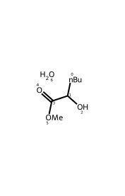 CCCCC(O)C(=O)OC.O